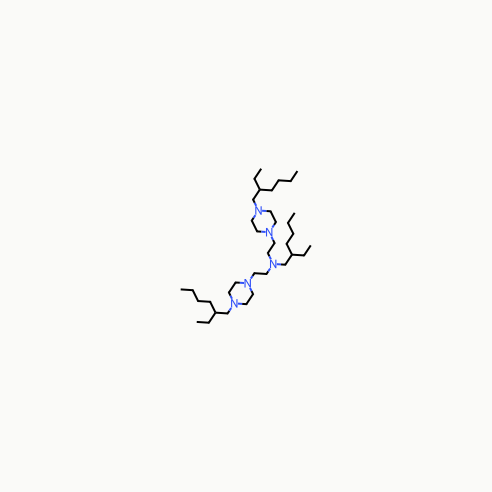 CCCCC(CC)CN1CCN(CCN(CCN2CCN(CC(CC)CCCC)CC2)CC(CC)CCCC)CC1